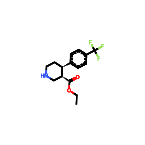 CCOC(=O)[C@@H]1CNCC[C@@H]1c1ccc(C(F)(F)F)cc1